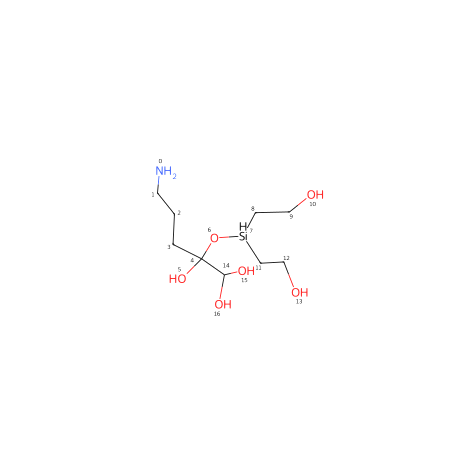 NCCCC(O)(O[SiH](CCO)CCO)C(O)O